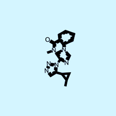 CC1CC1c1cnnn1-c1ncn2c3ccccc3c(=O)n(C)c12